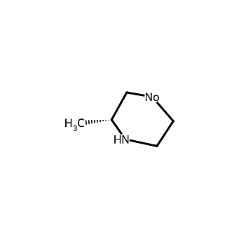 C[C@@H]1[CH2][No][CH2]CN1